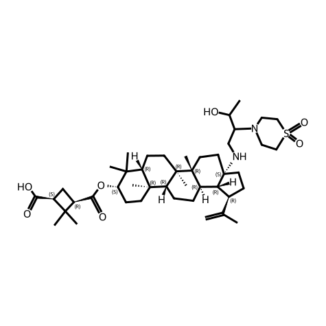 C=C(C)[C@@H]1CC[C@]2(NCC(C(C)O)N3CCS(=O)(=O)CC3)CC[C@]3(C)[C@H](CC[C@@H]4[C@@]5(C)CC[C@H](OC(=O)[C@@H]6C[C@H](C(=O)O)C6(C)C)C(C)(C)[C@@H]5CC[C@]43C)[C@@H]12